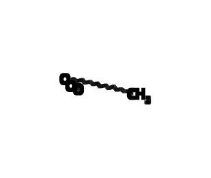 CCCCCCCCCCCCCCC1=CC(=O)OC1=O